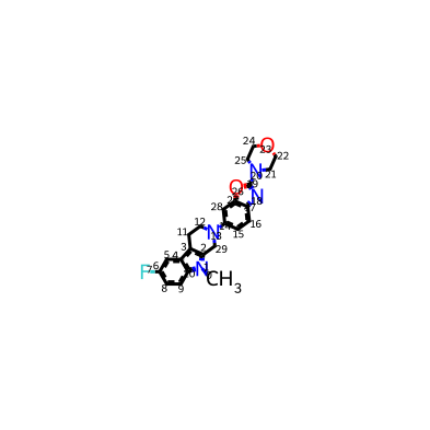 Cn1c2c(c3cc(F)ccc31)CCN(c1ccc3nc(N4CCOCC4)oc3c1)C2